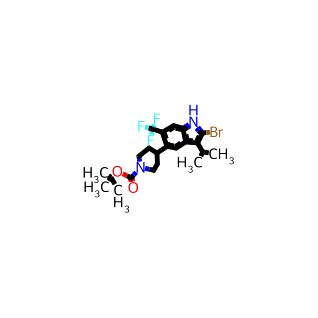 CC(C)c1c(Br)[nH]c2cc(C(F)(F)F)c(C3CCN(C(=O)OC(C)(C)C)CC3)cc12